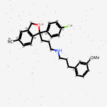 COc1cccc(CCCNCCCC2(c3ccc(F)cc3)OCc3cc(C#N)ccc32)c1